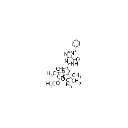 COCOc1c(C(C)(C)C)cc(-c2nc3ncn(Cc4ccccc4)c3c(=O)[nH]2)cc1C(C)(C)C